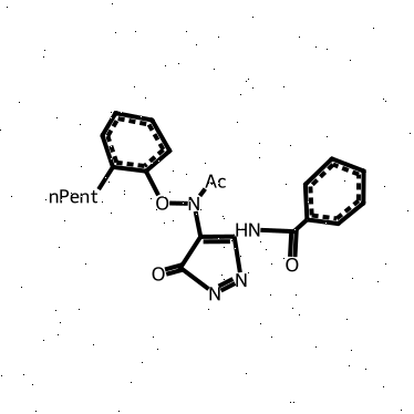 CCCCCc1ccccc1ON(C(C)=O)C1=C(NC(=O)c2ccccc2)N=NC1=O